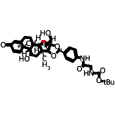 CC(C)(C)OC(=O)NCC(=O)Nc1ccc([C@@H]2O[C@@H]3C[C@H]4[C@@H]5CCC6=CC(=O)C=C[C@]6(C)[C@H]5[C@@H](O)C[C@]4(C)[C@]3(C(=O)CO)O2)cc1